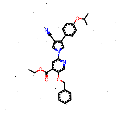 CCOC(=O)c1cc(-n2cc(C#N)c(-c3ccc(OC(C)C)cc3)c2)ncc1OCc1ccccc1